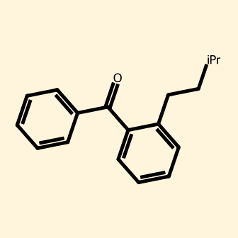 CC(C)CCc1ccccc1C(=O)c1ccccc1